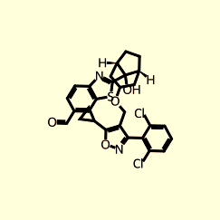 O=Cc1ccc2nc(C3(O)[C@@H]4CC[C@H]3CC(OCc3c(-c5c(Cl)cccc5Cl)noc3C3CC3)C4)sc2c1